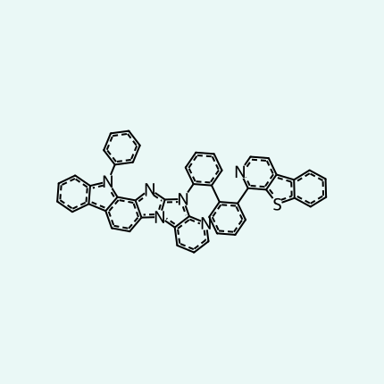 c1ccc(-n2c3ccccc3c3ccc4c(nc5n(-c6ccccc6-c6ccccc6-c6nccc7c6sc6ccccc67)c6ncccc6n45)c32)cc1